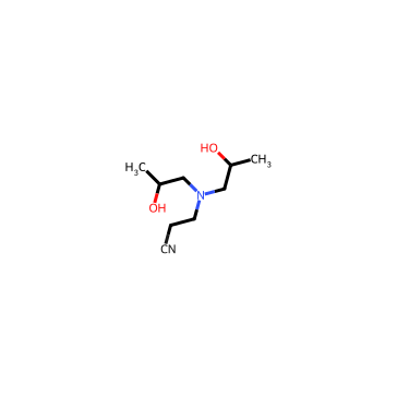 CC(O)CN(CCC#N)CC(C)O